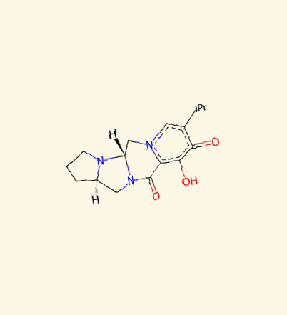 CC(C)c1cn2c(c(O)c1=O)C(=O)N1C[C@H]3CCCN3[C@@H]1C2